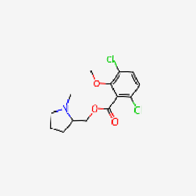 COc1c(Cl)ccc(Cl)c1C(=O)OCC1CCCN1C